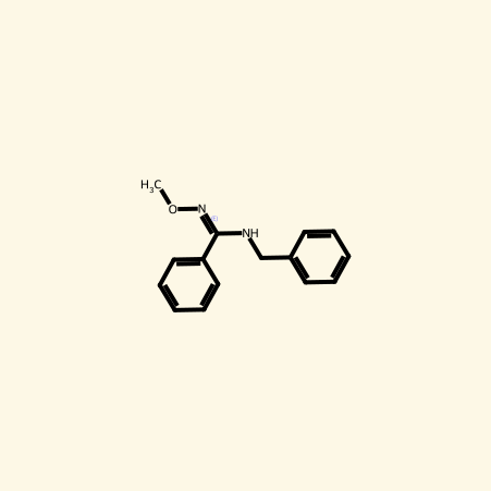 CO/N=C(/NCc1ccccc1)c1ccccc1